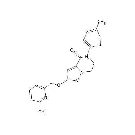 Cc1ccc(N2CCn3nc(OCc4cccc(C)n4)cc3C2=O)cc1